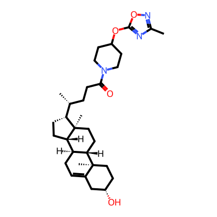 Cc1noc(OC2CCN(C(=O)CC[C@@H](C)[C@H]3CC[C@H]4[C@@H]5CC=C6C[C@@H](O)CC[C@]6(C)[C@H]5CC[C@]34C)CC2)n1